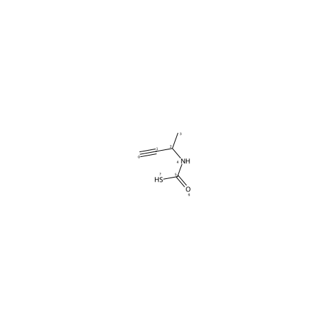 C#CC(C)NC(=O)S